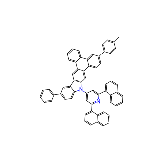 Cc1ccc(-c2ccc3c(c2)c2ccccc2c2cc4c5cc(-c6ccccc6)ccc5n(-c5cc(-c6cccc7ccccc67)nc(-c6cccc7ccccc67)c5)c4cc32)cc1